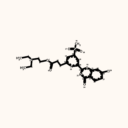 CCN(CC)CCOC(=O)CCc1cc(S(C)(=O)=O)cc(-c2nc(=O)c3ccc(Cl)cc3s2)n1